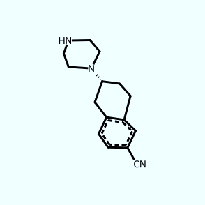 N#Cc1ccc2c(c1)CC[C@@H](N1CCNCC1)C2